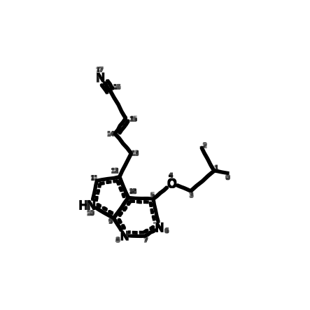 CC(C)COc1ncnc2[nH]cc(C/C=C/C#N)c12